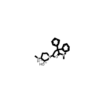 CN[C@H]1CCN(C(C)CC(C(=O)N(C)C)(c2ccccc2)c2ccccc2)C[C@@H]1O